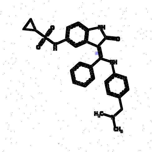 CN(C)Cc1ccc(N/C(=C2\C(=O)Nc3ccc(NS(=O)(=O)C4CC4)cc32)c2ccccc2)cc1